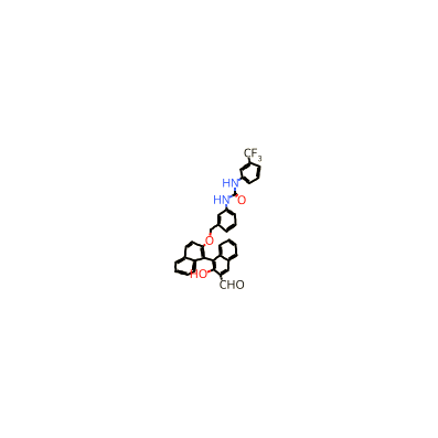 O=Cc1cc2ccccc2c(-c2c(OCc3cccc(NC(=O)Nc4cccc(C(F)(F)F)c4)c3)ccc3ccccc23)c1O